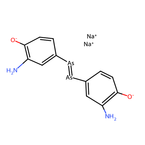 Nc1cc([As]=[As]c2ccc([O-])c(N)c2)ccc1[O-].[Na+].[Na+]